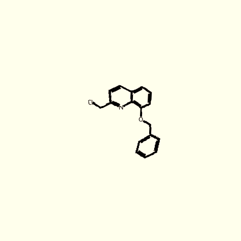 ClCc1ccc2cccc(OCc3ccccc3)c2n1